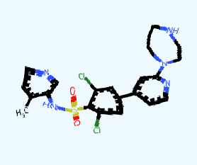 Cc1ccncc1NS(=O)(=O)c1c(Cl)cc(-c2ccnc(N3CCNCC3)c2)cc1Cl